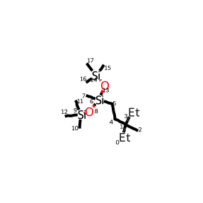 CCC(C)(CC)CC[Si](C)(O[Si](C)(C)C)O[Si](C)(C)C